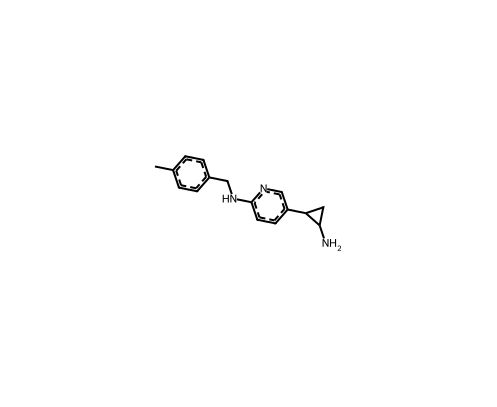 Cc1ccc(CNc2ccc(C3CC3N)cn2)cc1